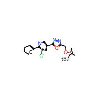 CC(C)(C)[Si](C)(C)OCc1nnc(-c2cnc(C3=CCCCC3)c(Cl)c2)o1